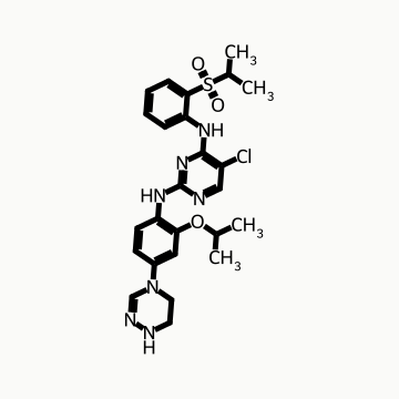 CC(C)Oc1cc(N2C=NNCC2)ccc1Nc1ncc(Cl)c(Nc2ccccc2S(=O)(=O)C(C)C)n1